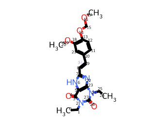 CCn1c(=O)c2[nH]c(/C=C/c3ccc(OCOC)c(OC)c3)nc2n(CC)c1=O